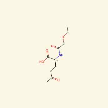 CCOCC(=O)N[C@@H](CCC(C)=O)C(=O)O